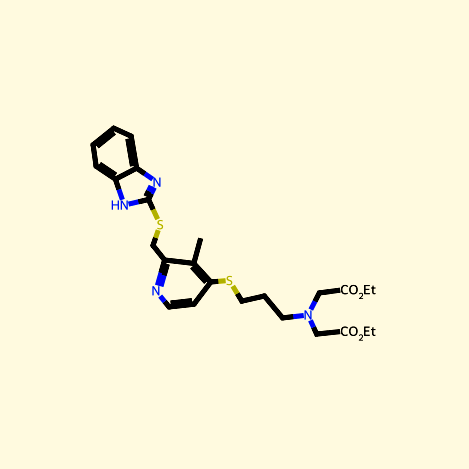 CCOC(=O)CN(CCCSc1ccnc(CSc2nc3ccccc3[nH]2)c1C)CC(=O)OCC